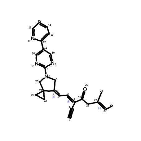 C#C/C(=C\C=C1/CN(c2ncc(-c3ccccn3)cn2)CC12CC2)C(=O)C/C(C)=C/C